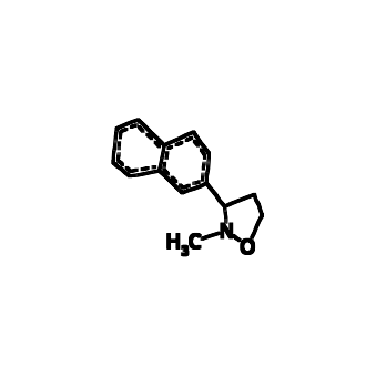 CN1OCCC1c1ccc2ccccc2c1